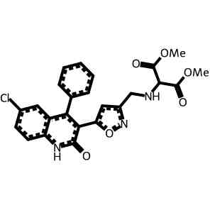 COC(=O)C(NCc1cc(-c2c(-c3ccccc3)c3cc(Cl)ccc3[nH]c2=O)on1)C(=O)OC